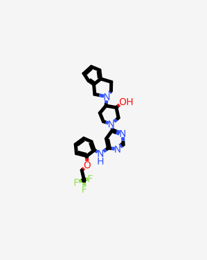 OC1CN(c2cc(Nc3ccccc3OCC(F)(F)F)ncn2)CCC1N1CCc2ccccc2C1